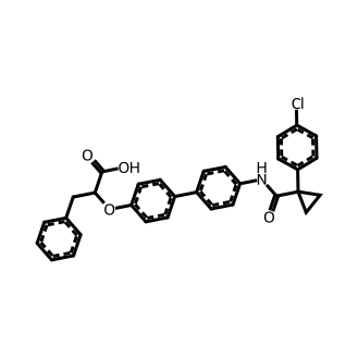 O=C(O)C(Cc1ccccc1)Oc1ccc(-c2ccc(NC(=O)C3(c4ccc(Cl)cc4)CC3)cc2)cc1